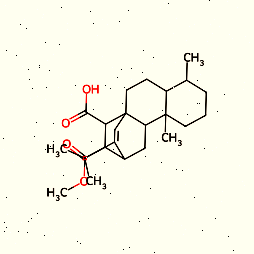 COC(=O)C1C2CC3C4(C)CCCC(C)C4CCC3(C=C2C(C)C)C1C(=O)O